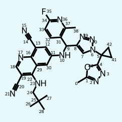 Cc1nnc(C2(n3cc(C(Nc4cc(C#N)c5ncc(C#N)c(NCC(C)(C)C)c5c4)c4ccc(F)nc4C)nn3)CC2)o1